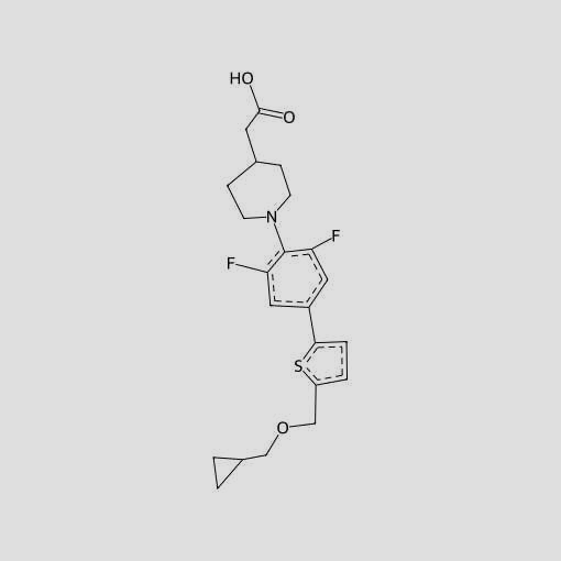 O=C(O)CC1CCN(c2c(F)cc(-c3ccc(COCC4CC4)s3)cc2F)CC1